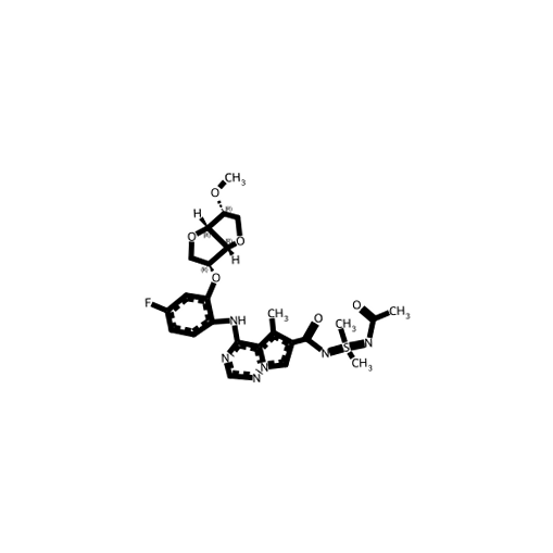 CO[C@@H]1CO[C@H]2[C@@H]1OC[C@H]2Oc1cc(F)ccc1Nc1ncnn2cc(C(=O)N=S(C)(C)=NC(C)=O)c(C)c12